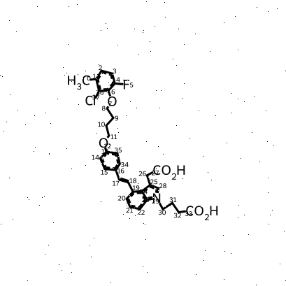 Cc1ccc(F)c(OCCCCOc2ccc(C=Cc3cccc4c3c(CC(=O)O)cn4CCCC(=O)O)cc2)c1Cl